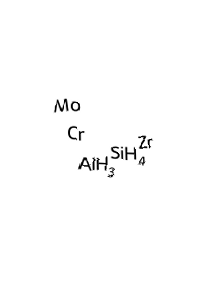 [AlH3].[Cr].[Mo].[SiH4].[Zr]